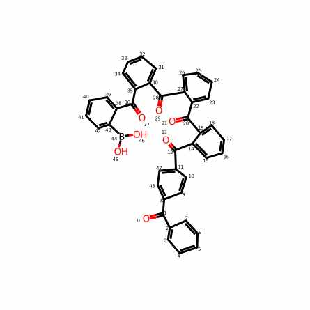 O=C(c1ccccc1)c1ccc(C(=O)c2ccccc2C(=O)c2ccccc2C(=O)c2ccccc2C(=O)c2ccccc2B(O)O)cc1